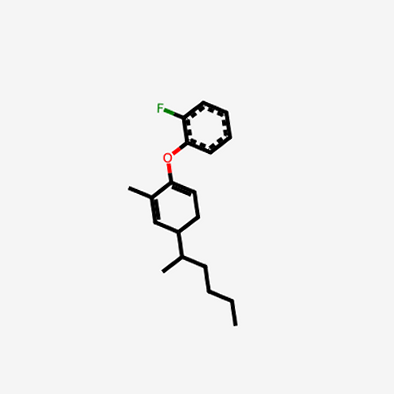 CCCCC(C)C1C=C(C)C(Oc2ccccc2F)=CC1